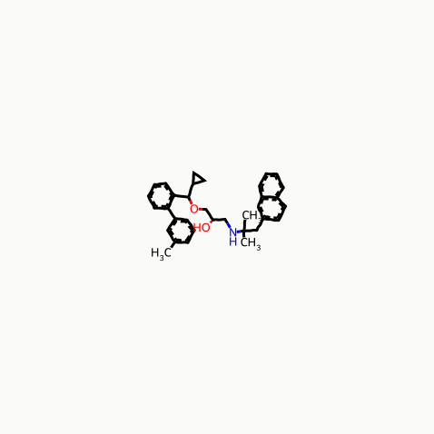 Cc1cccc(-c2ccccc2C(OC[C@H](O)CNC(C)(C)Cc2ccc3ccccc3c2)C2CC2)c1